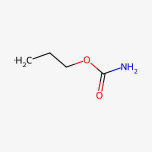 [CH2]CCOC(N)=O